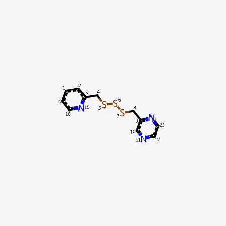 c1ccc(CSSSCc2cnccn2)nc1